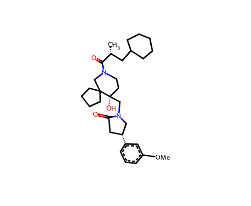 COc1cccc([C@@H]2CC(=O)N(C[C@]3(O)CCN(C(=O)[C@H](C)CC4CCCCC4)CC34CCCC4)C2)c1